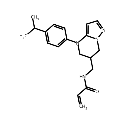 C=CC(=O)NCC1CN(c2ccc(C(C)C)cc2)c2ccnn2C1